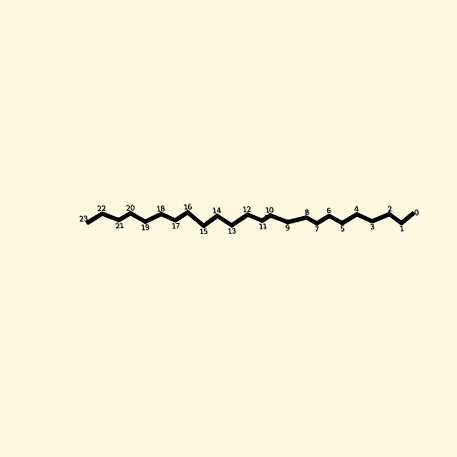 CCCCCCCCCC[CH]CCCCCCCCCCCCC